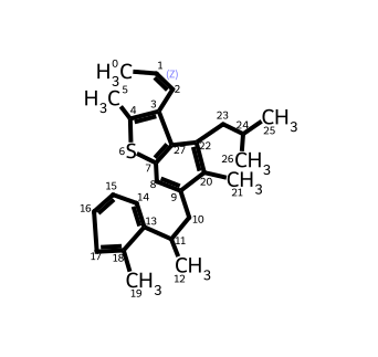 C/C=C\c1c(C)sc2cc(CC(C)c3ccccc3C)c(C)c(CC(C)C)c12